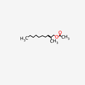 CCCCCCC/C=C(\C)COC(C)=O